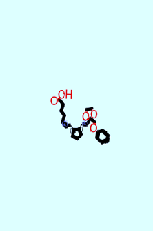 O=C(O)CCC/C=C\C[C@H]1CCC[C@H]1/C=C/C1(COc2ccccc2)OCCO1